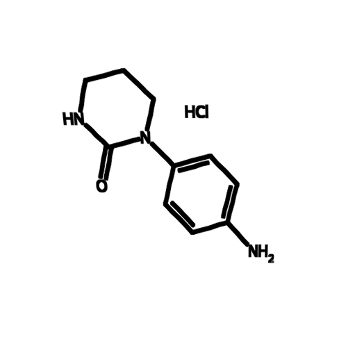 Cl.Nc1ccc(N2CCCNC2=O)cc1